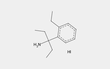 CCc1ccccc1C(N)(CC)CC.I